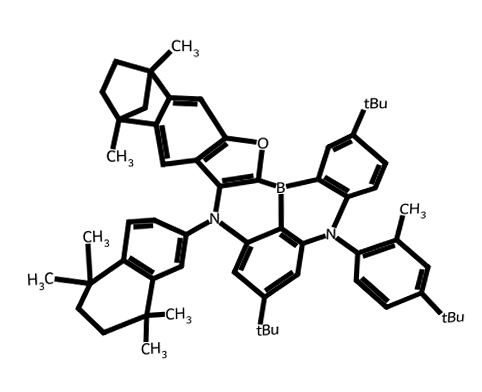 Cc1cc(C(C)(C)C)ccc1N1c2ccc(C(C)(C)C)cc2B2c3oc4cc5c(cc4c3N(c3ccc4c(c3)C(C)(C)CCC4(C)C)c3cc(C(C)(C)C)cc1c32)C1(C)CCC5(C)C1